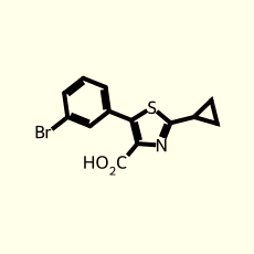 O=C(O)c1nc(C2CC2)sc1-c1cccc(Br)c1